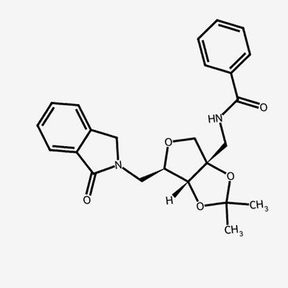 CC1(C)O[C@@H]2[C@@H](CN3Cc4ccccc4C3=O)OC[C@]2(CNC(=O)c2ccccc2)O1